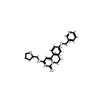 O=c1nc(OCC2CCCO2)cc2n1CCc1cc(OCc3cccnc3)ccc1-2